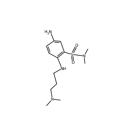 CN(C)CCCNc1ccc(N)cc1S(=O)(=O)N(C)C